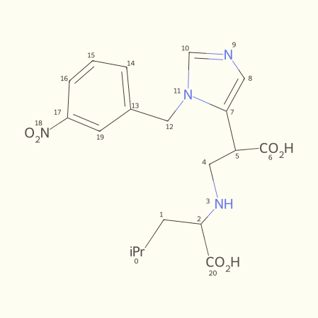 CC(C)CC(NCC(C(=O)O)c1cncn1Cc1cccc([N+](=O)[O-])c1)C(=O)O